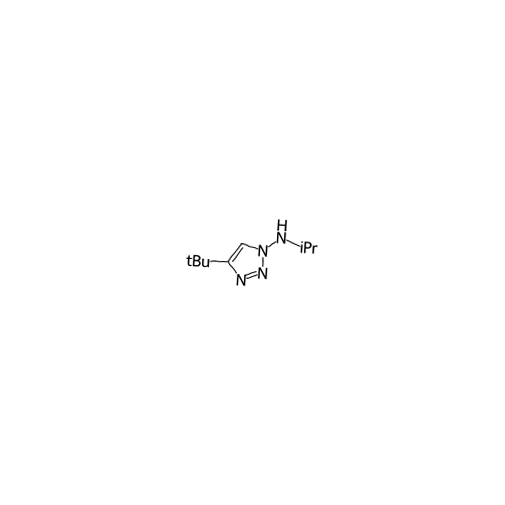 CC(C)Nn1cc(C(C)(C)C)nn1